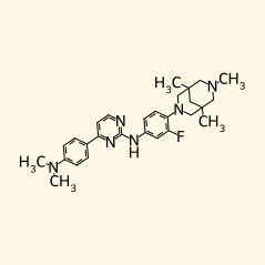 CN1CC2(C)CN(c3ccc(Nc4nccc(-c5ccc(N(C)C)cc5)n4)cc3F)CC(C)(C1)C2